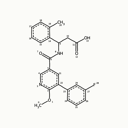 COc1ncc(C(=O)NC(CC(=O)O)c2ccccc2C)cc1-c1cccc(F)c1